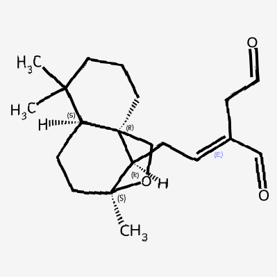 CC1(C)CCC[C@@]23CO[C@@](C)(CC[C@@H]12)[C@@H]3C/C=C(/C=O)CC=O